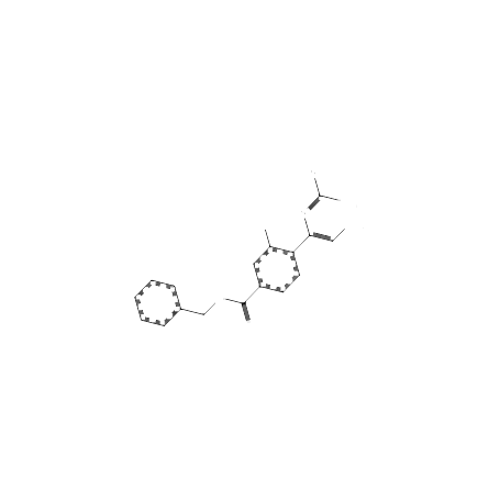 C/C=C(\N=C(/C)N)c1ccc(C(=O)OCc2ccccc2)cc1F